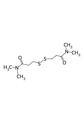 CN(C)C(=O)CCSSCCC(=O)N(C)C